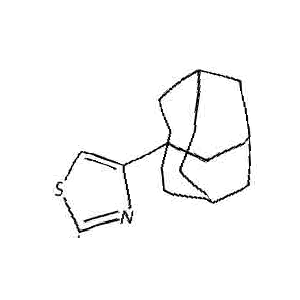 [c]1nc(C23CC4CC(CC(C4)C2)C3)cs1